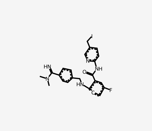 CN(C)C(=N)c1ccc(CNc2ccc(F)cc2C(=O)Nc2ccc(CI)cn2)cc1